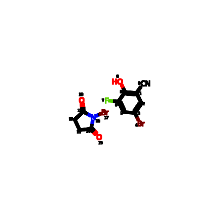 N#Cc1cc(Br)cc(F)c1O.O=C1CCC(=O)N1Br